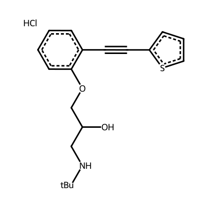 CC(C)(C)NCC(O)COc1ccccc1C#Cc1cccs1.Cl